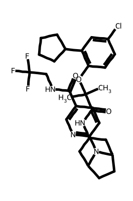 CC(C)(Oc1ccc(Cl)cc1C1CCCC1)C(=O)NC1CC2CCC(C1)N2c1ccc(C(=O)NCC(F)(F)F)cn1